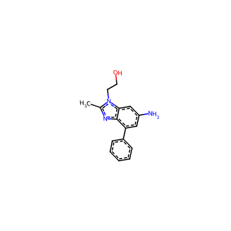 Cc1nc2c(-c3ccccc3)cc(N)cc2n1CCO